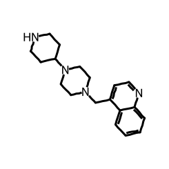 c1ccc2c(CN3CCN(C4CCNCC4)CC3)ccnc2c1